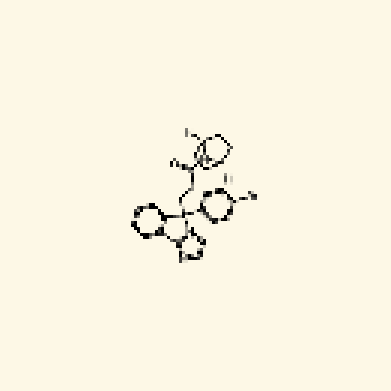 O=C(CCC1(c2ccc(Br)cc2)c2ccccc2-c2nccn21)N1[C@H]2CC[C@H]1CC2